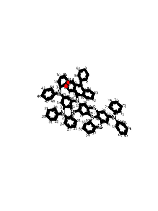 c1ccc(-c2c3ccccc3c(N3c4cc5c(cc4B4c6ccccc6N(c6ccccc6)c6cc(N(c7ccccc7)c7ccccc7)cc3c64)B3c4ccccc4Oc4cc(N(c6ccccc6)c6ccccc6)cc(c43)S5)c3ccccc23)cc1